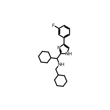 Fc1cccc(-c2c[nH]c(C(NCC3CCCCC3)C3CCCCC3)n2)c1